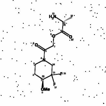 CO[C@H]1CCN(C(=O)COC(=O)[C@@H](C)N)CC1(F)F